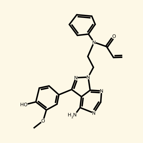 C=CC(=O)N(CCn1nc(-c2ccc(O)c(OC)c2)c2c(N)ncnc21)c1ccccc1